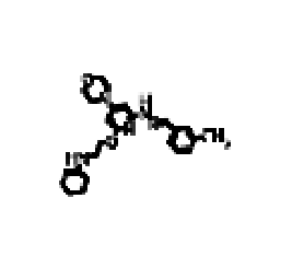 Cc1cccc(/C=N/Nc2cc(N3CCOCC3)cc(OCCNC3=CCCCC3)n2)c1